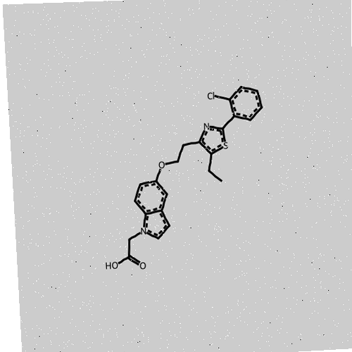 CCc1sc(-c2ccccc2Cl)nc1CCOc1ccc2c(ccn2CC(=O)O)c1